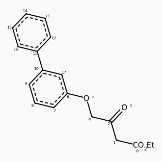 CCOC(=O)CC(=O)COc1cccc(-c2ccccc2)c1